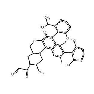 C=CC(=O)N1CC2COc3c(c4cc(F)c(-c5c(O)cccc5Cl)c(F)c4n(-c4c(C)ccnc4C(C)C)c3=O)N2CC1C